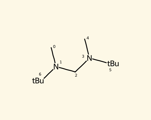 CN(CN(C)C(C)(C)C)C(C)(C)C